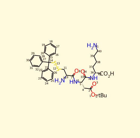 CC(C)(C)OC(=O)C[C@H](NC(=O)[C@@H](N)CSSC(c1ccccc1)(c1ccccc1)c1ccccc1)C(=O)N[C@@H](CCCCN)C(=O)O